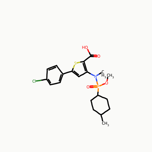 COP(=O)(C1CCC(C)CC1)N(C)c1cc(-c2ccc(Cl)cc2)sc1C(=O)O